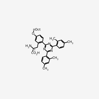 CCCCCCCCOc1ccc(-c2nc(-c3ccc(C)cc3C)nc(-c3ccc(C)cc3C)n2)c(C[C@H](N)C(=O)O)c1